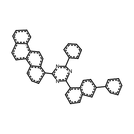 c1ccc(-c2ccc3c(-c4nc(-c5ccccc5)nc(-c5cccc6c5ccc5c7ccccc7ccc65)n4)cccc3c2)cc1